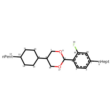 CCCCCCCc1ccc(C2OCC(C3CCC(CCCCC)CC3)CO2)c(F)c1